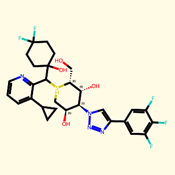 OC[C@@H]1[C@H](O)[C@@H](n2cc(-c3cc(F)c(F)c(F)c3)nn2)[C@@H](O)C[SH]1C(c1ncccc1C1CC1)C1(O)CCC(F)(F)CC1